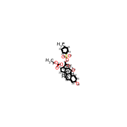 CCOC(=O)O[C@]1(C(=O)COS(=O)(=O)c2ccc(C)cc2)CC[C@H]2[C@@H]3CCC4=CC(=O)C=C[C@]4(C)[C@H]3C(=O)C[C@@]21C